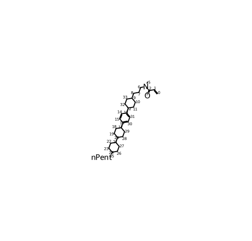 C=CC(=O)N(C)CCCC1CCC(c2ccc(C3CCC(C4CCC(CCCCC)CC4)CC3)cc2)CC1